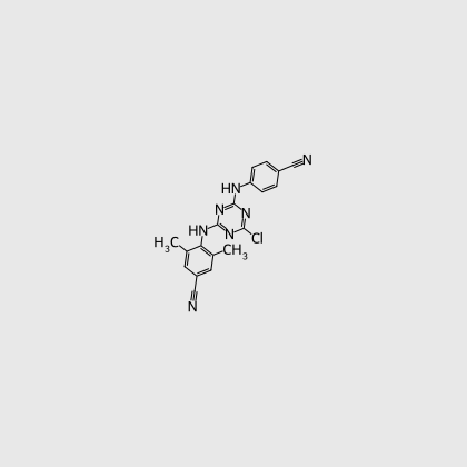 Cc1cc(C#N)cc(C)c1Nc1nc(Cl)nc(Nc2ccc(C#N)cc2)n1